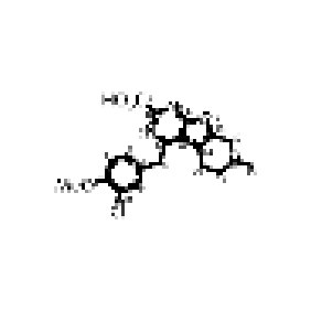 COc1ccc(Cc2nc(C(=O)O)nc3sc4c(c23)CCN(C)C4)cc1Cl